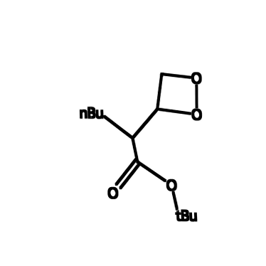 CCCCC(C(=O)OC(C)(C)C)C1COO1